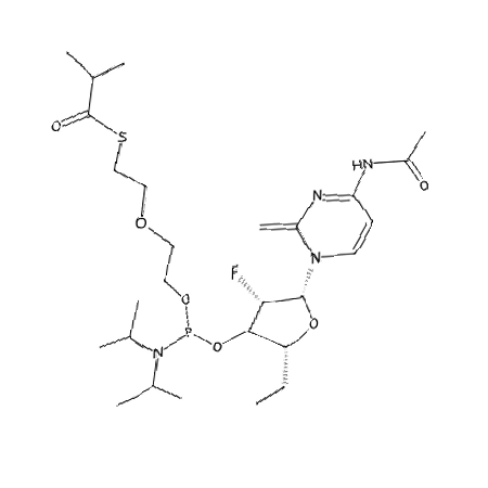 C=C1N=C(NC(C)=O)C=CN1[C@@H]1O[C@H](CC)C(OP(OCCOCCSC(=O)C(C)C)N(C(C)C)C(C)C)[C@@H]1F